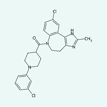 Cc1nc2c([nH]1)-c1cc(Cl)ccc1N(C(=O)C1CCN(c3cccc(Cl)c3)CC1)CC2